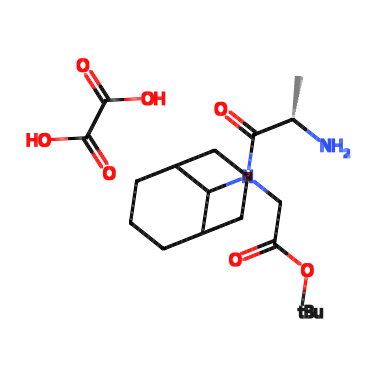 C[C@H](N)C(=O)N(CC(=O)OC(C)(C)C)C1C2CCCC1CCC2.O=C(O)C(=O)O